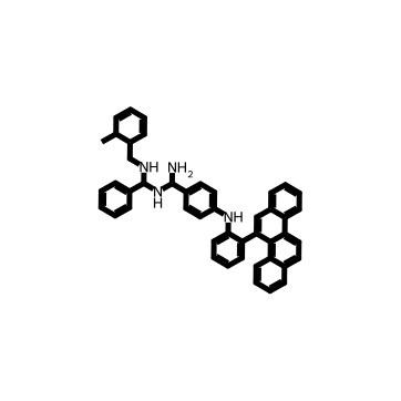 CC1C=CC=CC1CNC(NC(N)c1ccc(Nc2ccccc2-c2cc3ccccc3c3ccc4ccccc4c23)cc1)c1ccccc1